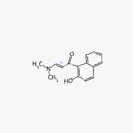 CN(C)/C=C/C(=O)c1c(O)ccc2ccccc12